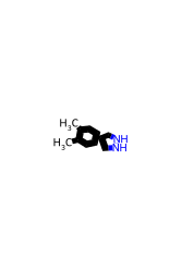 C1=CNNC1.Cc1ccccc1C